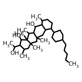 CCCCCC1CCC(C2CCC(C)C3C(O)C4C(C)C5(C)C(O)C(C(C)O)C(C)CC5(C)CC4(C)CC23)CC1